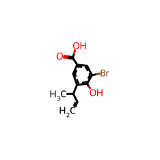 C=CC(C)c1cc(C(=O)O)cc(Br)c1O